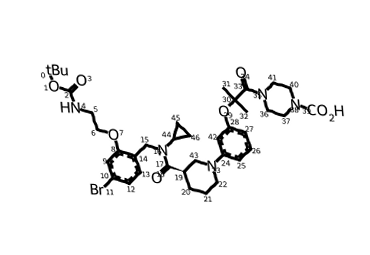 CC(C)(C)OC(=O)NCCOc1cc(Br)ccc1CN(C(=O)[C@@H]1CCCN(c2cccc(OC(C)(C)C(=O)N3CCN(C(=O)O)CC3)c2)C1)C1CC1